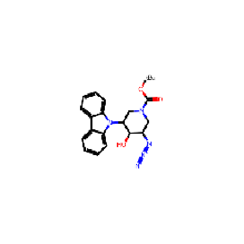 CC(C)(C)OC(=O)N1CC(N=[N+]=[N-])C(O)C(n2c3ccccc3c3ccccc32)C1